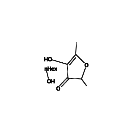 CC1=C(O)C(=O)C(C)O1.CCCCCCO